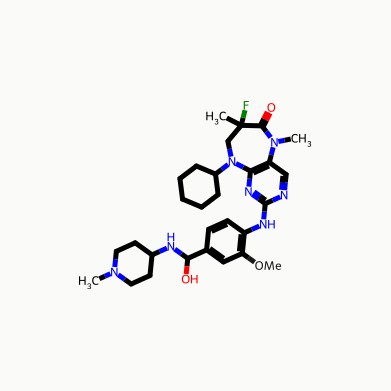 COc1cc(C(O)NC2CCN(C)CC2)ccc1Nc1ncc2c(n1)N(C1CCCCC1)CC(C)(F)C(=O)N2C